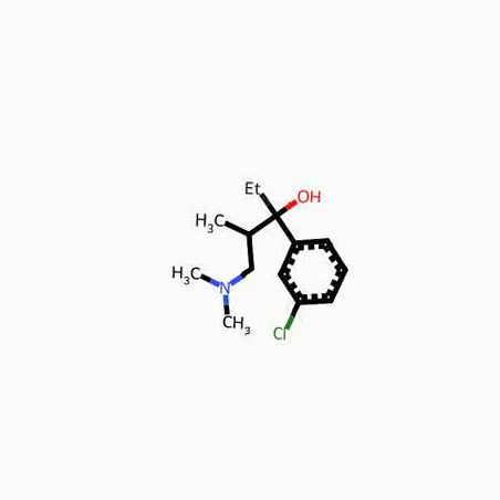 CCC(O)(c1cccc(Cl)c1)C(C)CN(C)C